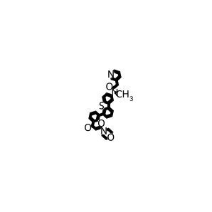 CN(C(=O)Cc1cccnc1)c1ccc2sc3c(-c4cccc5c(=O)cc(N6CCOCC6)oc45)cccc3c2c1